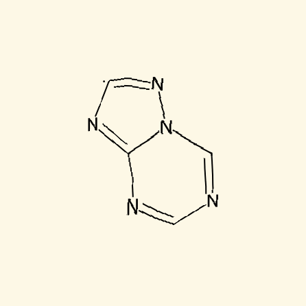 [c]1nc2ncncn2n1